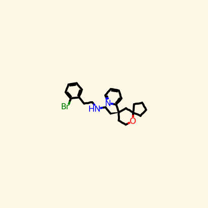 Brc1ccccc1CCNCC[C@]1(c2ccccn2)CCOC2(CCCC2)C1